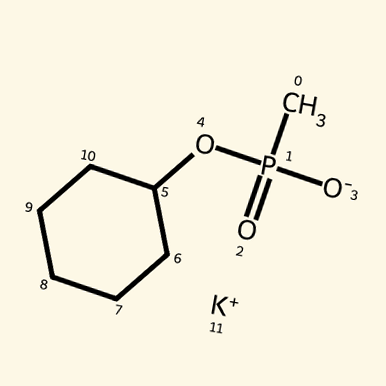 CP(=O)([O-])OC1CCCCC1.[K+]